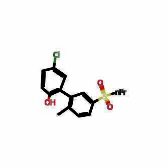 CCCS(=O)(=O)c1ccc(C)c(-c2cc(Cl)ccc2O)c1